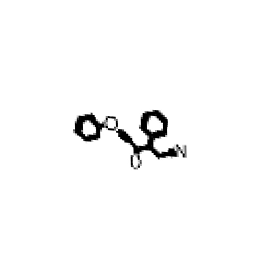 N#CCC(C(=O)C#COc1ccccc1)c1ccccc1